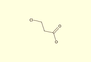 [O]C(=O)CCCl